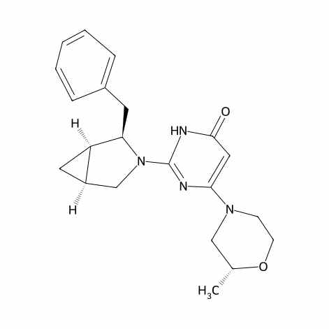 C[C@@H]1CN(c2cc(=O)[nH]c(N3C[C@H]4C[C@H]4[C@H]3Cc3ccccc3)n2)CCO1